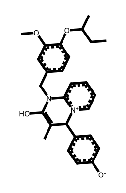 CCC(C)Oc1ccc(CN2C(O)=C(C)C(c3ccc([O-])cc3)[n+]3ccccc32)cc1OC